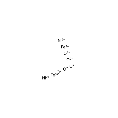 [Fe+3].[Fe+3].[Ni+2].[Ni+2].[O-2].[O-2].[O-2].[O-2].[O-2]